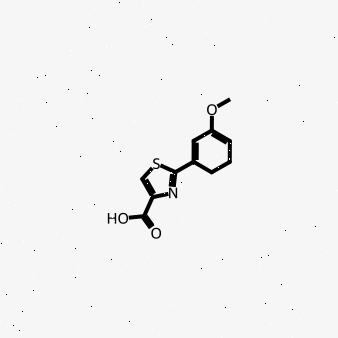 COC1=CCCC(c2nc(C(=O)O)cs2)=C1